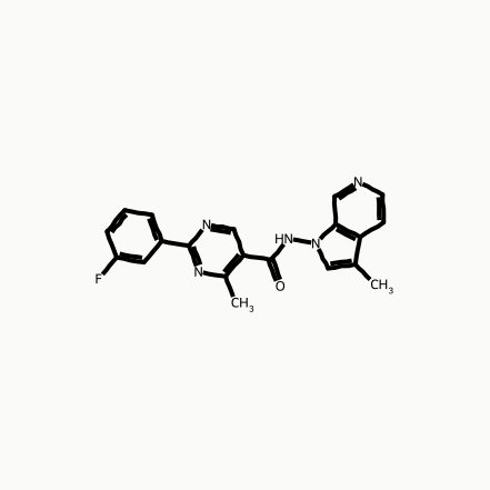 Cc1nc(-c2cccc(F)c2)ncc1C(=O)Nn1cc(C)c2ccncc21